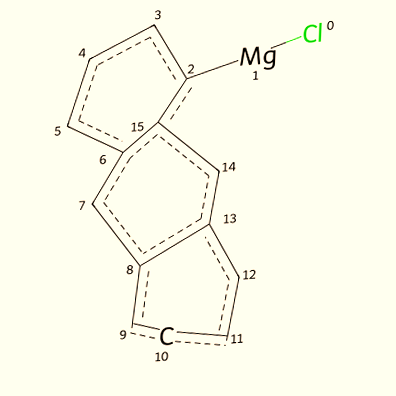 [Cl][Mg][c]1cccc2cc3ccccc3cc12